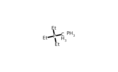 CC[P](C)(CC)CC.P